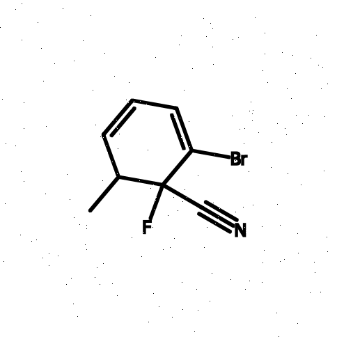 CC1C=CC=C(Br)C1(F)C#N